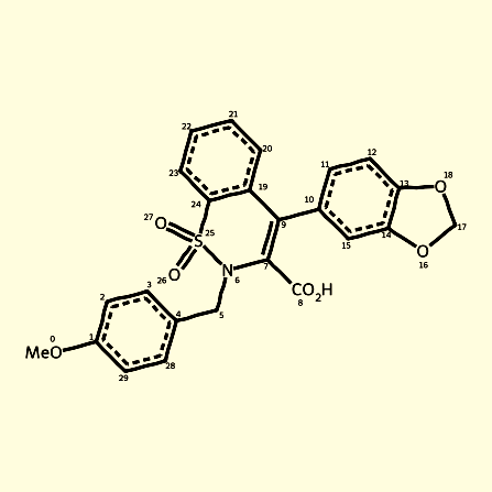 COc1ccc(CN2C(C(=O)O)=C(c3ccc4c(c3)OCO4)c3ccccc3S2(=O)=O)cc1